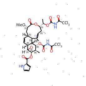 CO[C@H]1C[C@H]2C=C[C@H]3[C@H]4O[C@]2(/C(C)=C/[C@@H](C)[C@@H](C(C)OC(=O)NC(=O)C(Cl)(Cl)Cl)OC1=O)[C@@H]3[C@H](OC(=O)NC(=O)C(Cl)(Cl)Cl)[C@@H](C)[C@H]4OC(=O)c1ccc[nH]1